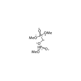 CO[PH](=O)OCP(=O)(OC)OC